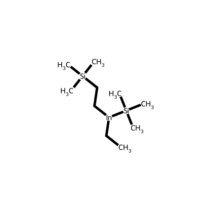 C[CH2][In]([CH2]C[Si](C)(C)C)[Si](C)(C)C